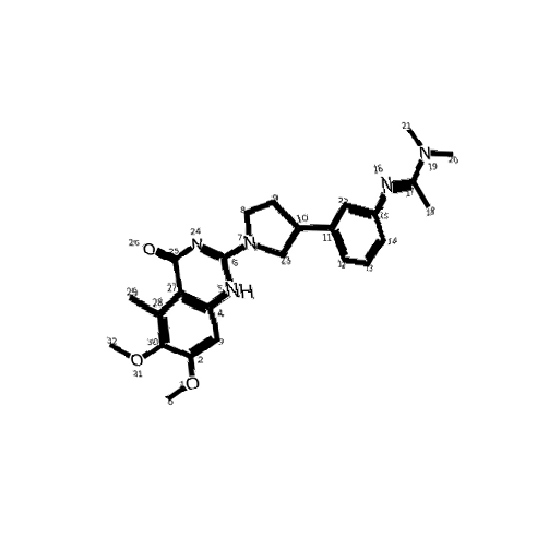 COc1cc2[nH]c(N3CCC(c4cccc(/N=C(\C)N(C)C)c4)C3)nc(=O)c2c(C)c1OC